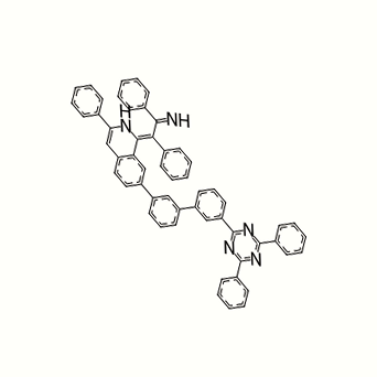 N=C(/C(=C1\NC(c2ccccc2)=Cc2ccc(-c3cccc(-c4cccc(-c5nc(-c6ccccc6)nc(-c6ccccc6)n5)c4)c3)cc21)c1ccccc1)c1ccccc1